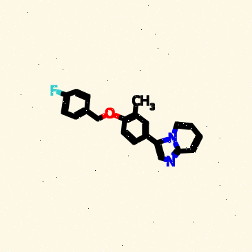 Cc1cc(-c2cnc3ccccn23)ccc1OCc1ccc(F)cc1